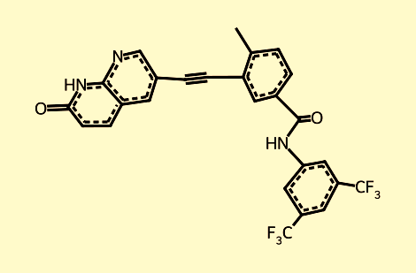 Cc1ccc(C(=O)Nc2cc(C(F)(F)F)cc(C(F)(F)F)c2)cc1C#Cc1cnc2[nH]c(=O)ccc2c1